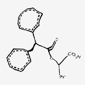 CC(C)C(OC(=O)C(c1ccccc1)c1ccccc1)C(=O)O